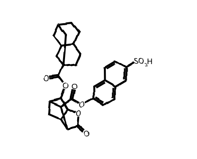 O=C1OC2C3CC(C2OC(=O)C24CCC5CCC(CC5C2)C4)C(C(=O)Oc2ccc4cc(S(=O)(=O)O)ccc4c2)C13